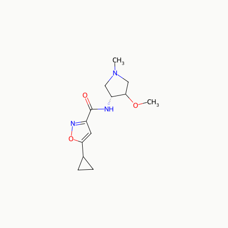 COC1CN(C)C[C@H]1NC(=O)c1cc(C2CC2)on1